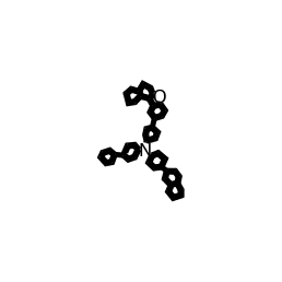 c1ccc(-c2ccc(N(c3ccc(-c4ccc5ccccc5c4)cc3)c3ccc(-c4ccc5oc6ccc7ccccc7c6c5c4)cc3)cc2)cc1